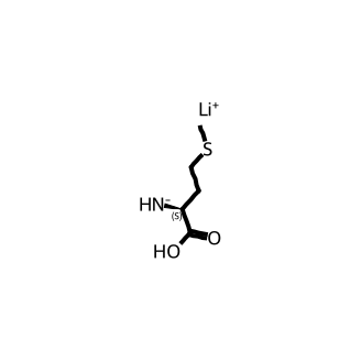 CSCC[C@H]([NH-])C(=O)O.[Li+]